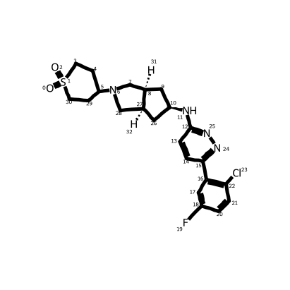 O=S1(=O)CCC(N2C[C@H]3C[C@@H](Nc4ccc(-c5cc(F)ccc5Cl)nn4)C[C@H]3C2)CC1